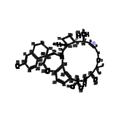 CC1(C)OC/C=C\[C@H](O)[C@@H]2CC[C@H]2CN2C[C@@]3(CCCc4cc(Cl)ccc43)COc3ccc(cc32)S(=O)(=O)NC1=O